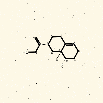 C=C(CO)[C@@H]1CCC2=CCC[C@H](C)[C@@]2(C)C1